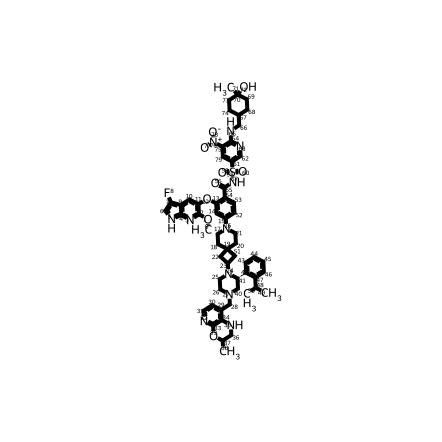 COc1nc2[nH]cc(F)c2cc1Oc1cc(N2CCC3(CC2)CC(N2CCN(Cc4ccnc5c4NCC(C)O5)C[C@H]2c2ccccc2C(C)C)C3)ccc1C(=O)NS(=O)(=O)c1cnc(NCC2CCC(C)(O)CC2)c([N+](=O)[O-])c1